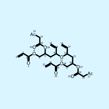 C=CC(=O)OCC(CC(C=C)OC(C=C)CC(COC(=O)C=C)OC(=O)CC(C)=O)OC(=O)CC(C)=O